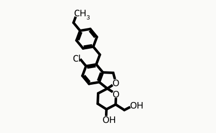 CCc1ccc(Cc2c(Cl)ccc3c2COC32CCC(O)C(CO)O2)cc1